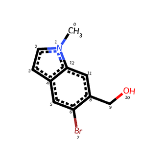 Cn1ccc2cc(Br)c(CO)cc21